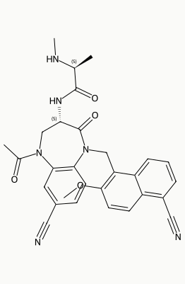 CN[C@@H](C)C(=O)N[C@H]1CN(C(C)=O)c2cc(C#N)ccc2N(Cc2c(OC)ccc3c(C#N)cccc23)C1=O